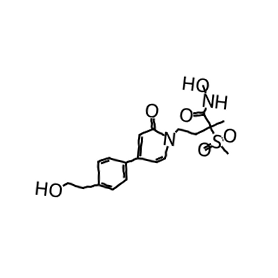 CC(CCn1ccc(-c2ccc(CCO)cc2)cc1=O)(C(=O)NO)S(C)(=O)=O